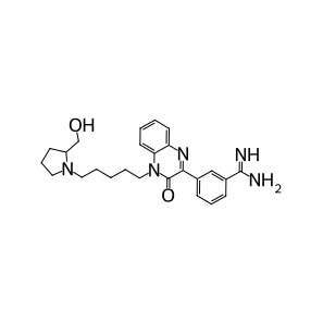 N=C(N)c1cccc(-c2nc3ccccc3n(CCCCCN3CCCC3CO)c2=O)c1